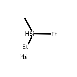 CC[SiH](C)CC.[Pb]